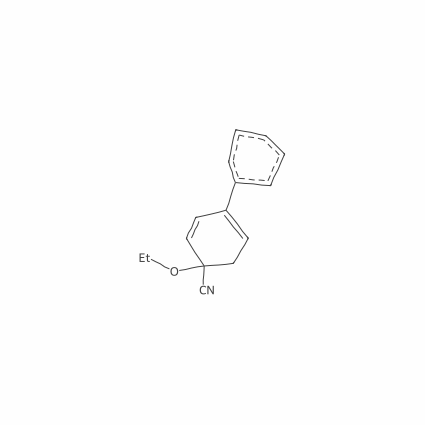 CCOC1(C#N)C=CC(c2ccccc2)=CC1